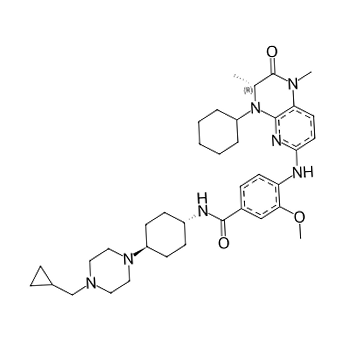 COc1cc(C(=O)N[C@H]2CC[C@H](N3CCN(CC4CC4)CC3)CC2)ccc1Nc1ccc2c(n1)N(C1CCCCC1)[C@H](C)C(=O)N2C